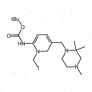 CN1CCN(CC2=CC=C(NC(=O)OC(C)(C)C)N(CI)C2)C(C)(C)C1